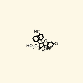 N#Cc1ccc([C@@]23Oc4cc(Cl)cnc4[C@]2(O)[C@H]2C[C@@]2(C(=O)O)[C@H]3c2ccccc2)cc1